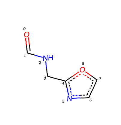 O=CN[CH]c1ncco1